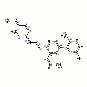 C/C=C/C=C\C(CC)=N/C=C/c1ccc(-c2cc(F)ccc2C)cc1/C=N\C